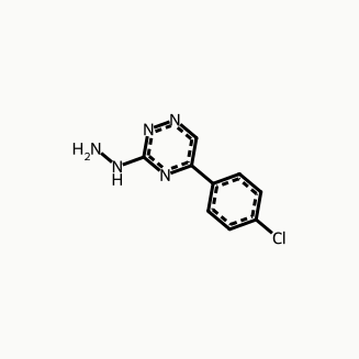 NNc1nncc(-c2ccc(Cl)cc2)n1